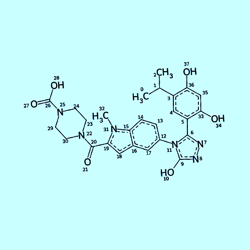 CC(C)c1cc(-c2nnc(O)n2-c2ccc3c(c2)cc(C(=O)N2CCN(C(=O)O)CC2)n3C)c(O)cc1O